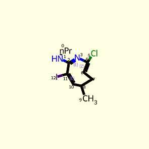 CCCNC1=N/C(Cl)=C/CC(C)/C=C\1I